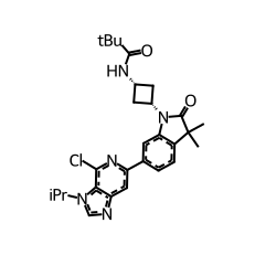 CC(C)n1cnc2cc(-c3ccc4c(c3)N([C@H]3C[C@@H](NC(=O)C(C)(C)C)C3)C(=O)C4(C)C)nc(Cl)c21